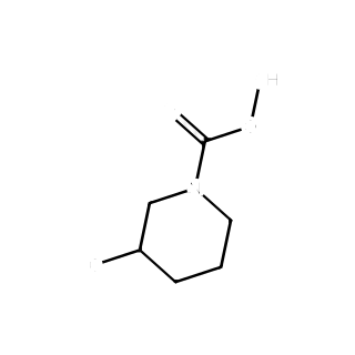 COC(=O)N1CCCC(C)C1